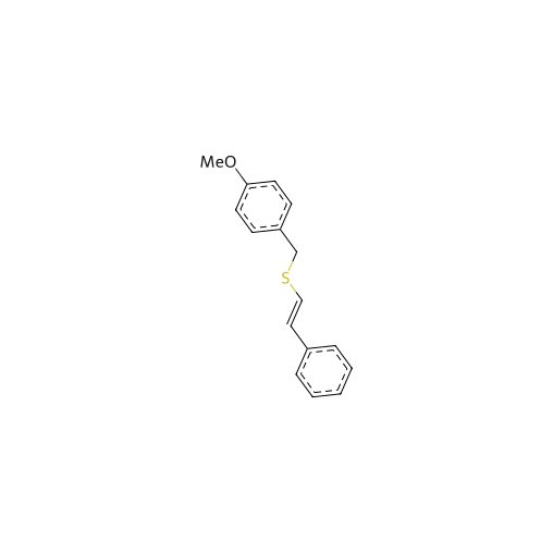 COc1ccc(CS/C=C/c2ccccc2)cc1